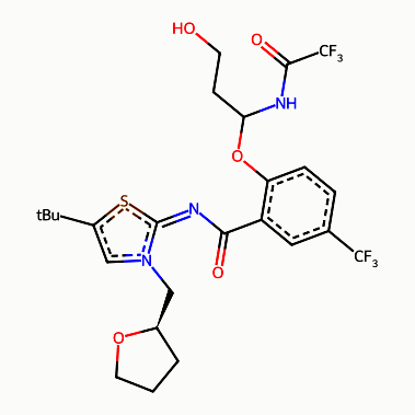 CC(C)(C)c1cn(C[C@H]2CCCO2)c(=NC(=O)c2cc(C(F)(F)F)ccc2OC(CCO)NC(=O)C(F)(F)F)s1